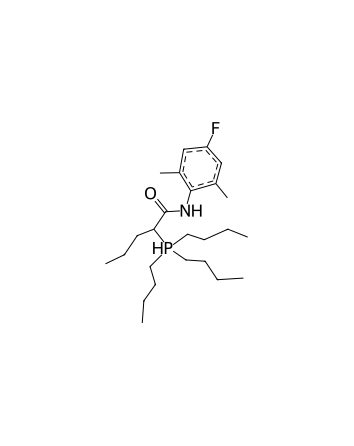 CCCC[PH](CCCC)(CCCC)C(CCC)C(=O)Nc1c(C)cc(F)cc1C